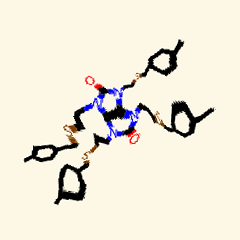 CC1=CCC(CSCCN2C(=O)N(CCSCC3CC=C(C)CC3)C3C2N(CCSCC2CC=C(C)CC2)C(=O)N3CCSCC2CC=C(C)CC2)CC1